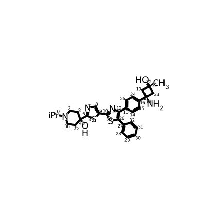 CC(C)N1CCC(O)(c2ncc(-c3nc(-c4ccc([C@]5(N)C[C@](C)(O)C5)cc4)c(-c4ccccc4)s3)s2)CC1